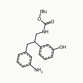 CC(C)(C)OC(=O)NCC(Cc1cccc(N)c1)c1cccc(O)c1